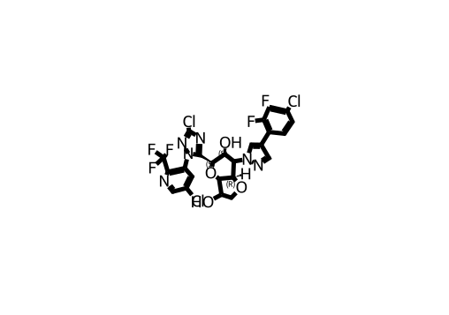 OC1CO[C@H]2C1O[C@@H](c1nc(Cl)nn1-c1cc(Cl)cnc1C(F)(F)F)[C@@H](O)C2n1cc(-c2ccc(Cl)c(F)c2F)cn1